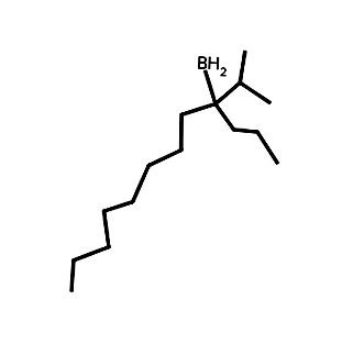 BC(CCC)(CCCCCCCC)C(C)C